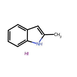 Cc1cc2ccccc2[nH]1.I